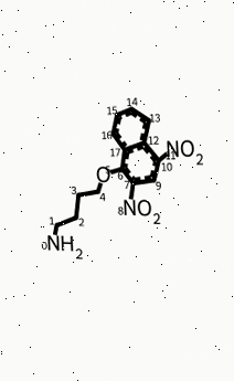 NCCCCOc1c([N+](=O)[O-])cc([N+](=O)[O-])c2ccccc12